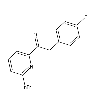 CCCc1cccc(C(=O)Cc2ccc(F)cc2)n1